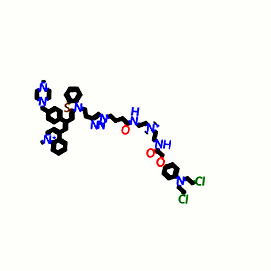 CN1CCN(Cc2ccc(C(=C\c3cc[n+](C)c4ccccc34)/C=C3\Sc4ccccc4N3CCc3cn(CCCC(=O)NCC[N+](C)(C)CCNC(=O)COc4ccc(N(CCCl)CCCl)cc4)nn3)cc2)CC1